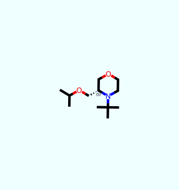 CC(C)OC[C@@H]1COCCN1C(C)(C)C